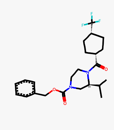 CC(C)[C@H]1CN(C(=O)OCc2ccccc2)CCN1C(=O)[C@H]1CC[C@@H](C(F)(F)F)CC1